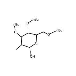 CCCCOCC1O[C@H](O)C(C)C(OCCCC)[C@@H]1OCCCC